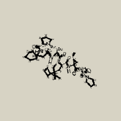 C=C[C@@H]1C[C@]1(NC(=O)[C@@H]1C[C@@]2(CN1C(=O)[C@@H](NC(=O)CC1(NC(=O)[C@@H]3CCCN3C(C)=O)CCCCC1)C(C)(C)C)C(C)(C)C21CCC1)C(=O)NS(=O)(=O)N1CCCC1